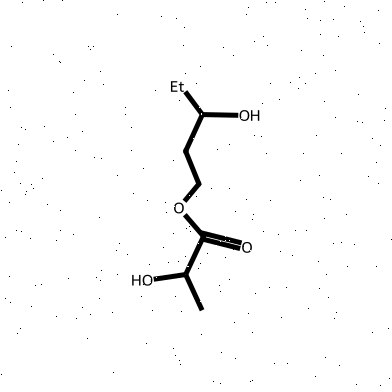 CCC(O)CCOC(=O)C(C)O